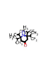 CC(C(F)(F)F)C1(C(C)C(F)(F)F)CC(=O)CC(C(C)C(F)(F)F)(C(C)C(F)(F)F)N1